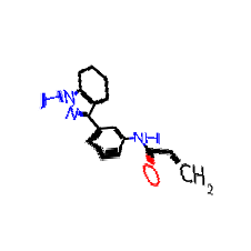 C=CC(=O)Nc1cccc(-c2n[nH]c3c2CCCC3)c1